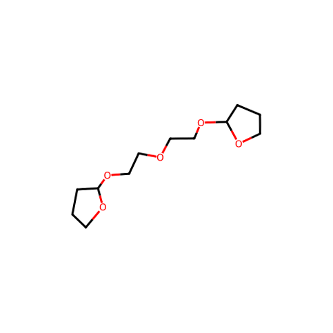 C1COC(OCCOCCOC2CCCO2)C1